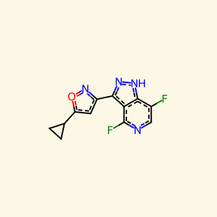 Fc1cnc(F)c2c(-c3cc(C4CC4)on3)n[nH]c12